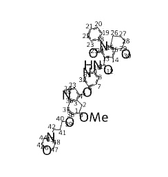 COC1Cc2c(Oc3ccc(NC(=O)c4cc5c(n(-c6ccccc6)c4=O)CCCC5=O)nc3)ccnc2C=C1OCCCN1CCOCC1